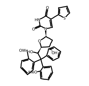 COc1ccccc1C(c1ccccc1)(c1ccccc1OC)C(O)[C@H]1O[C@@H](n2cc(-c3cccs3)c(=O)[nH]c2=O)C[C@@H]1O